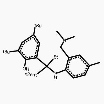 CCCCCC(CC)(Pc1ccc(C)cc1CN(C)C)c1cc(C(C)(C)C)cc(C(C)(C)C)c1O